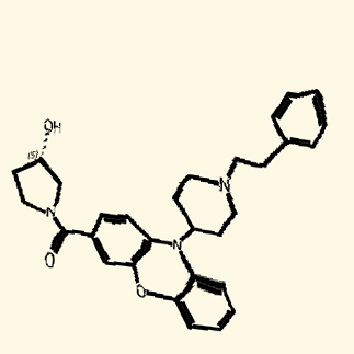 O=C(c1ccc2c(c1)Oc1ccccc1N2C1CCN(CCc2ccccc2)CC1)N1CC[C@H](O)C1